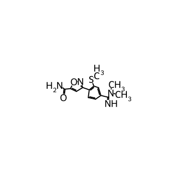 CSc1cc(C(=N)N(C)C)ccc1-c1cc(C(N)=O)on1